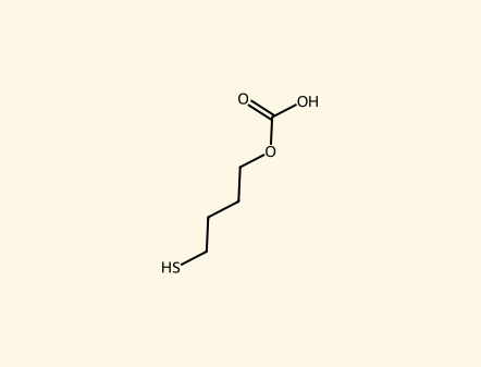 O=C(O)OCCCCS